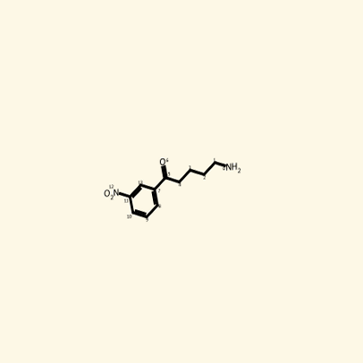 NCCCCC(=O)c1cccc([N+](=O)[O-])c1